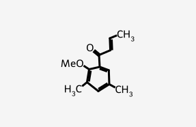 CC=CC(=O)c1cc(C)cc(C)c1OC